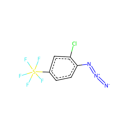 [N-]=[N+]=Nc1ccc(S(F)(F)(F)(F)F)cc1Cl